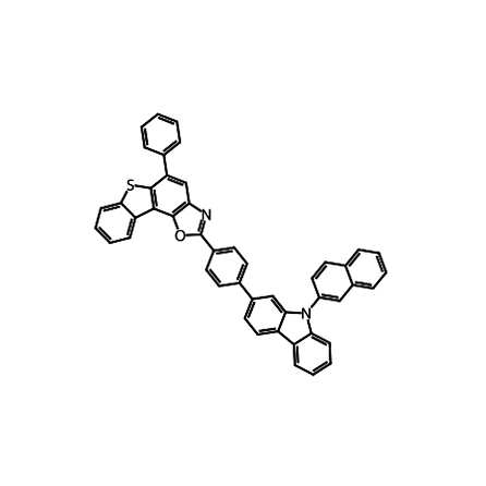 c1ccc(-c2cc3nc(-c4ccc(-c5ccc6c7ccccc7n(-c7ccc8ccccc8c7)c6c5)cc4)oc3c3c2sc2ccccc23)cc1